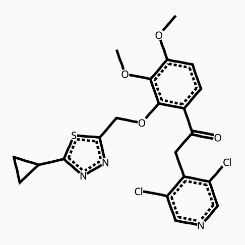 COc1ccc(C(=O)Cc2c(Cl)cncc2Cl)c(OCc2nnc(C3CC3)s2)c1OC